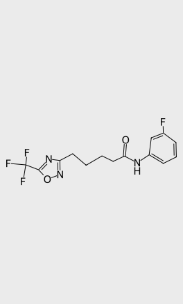 O=C(CCCCc1noc(C(F)(F)F)n1)Nc1cccc(F)c1